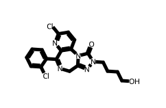 O=c1n(CCCCO)nc2n1-c1ccc(Cl)nc1C(c1ccccc1Cl)=NC2